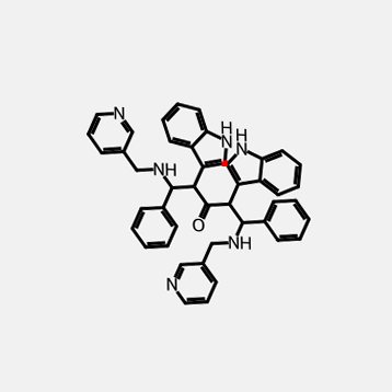 O=C(C(c1c[nH]c2ccccc12)C(NCc1cccnc1)c1ccccc1)C(c1c[nH]c2ccccc12)C(NCc1cccnc1)c1ccccc1